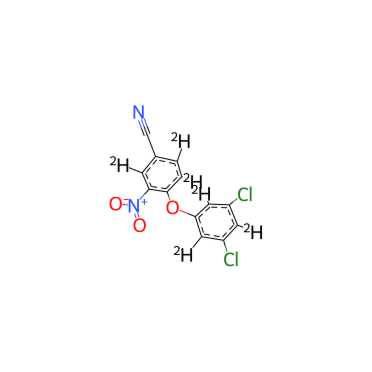 [2H]c1c(Cl)c([2H])c(Oc2c([2H])c([2H])c(C#N)c([2H])c2[N+](=O)[O-])c([2H])c1Cl